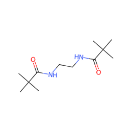 CC(C)(C)C(=O)NCCNC(=O)C(C)(C)C